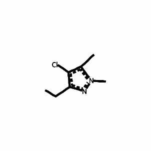 CCc1nn(C)c(C)c1Cl